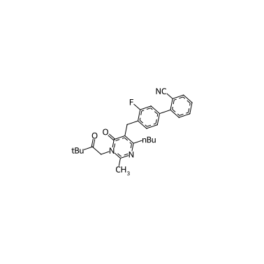 CCCCc1nc(C)n(CC(=O)C(C)(C)C)c(=O)c1Cc1ccc(-c2ccccc2C#N)cc1F